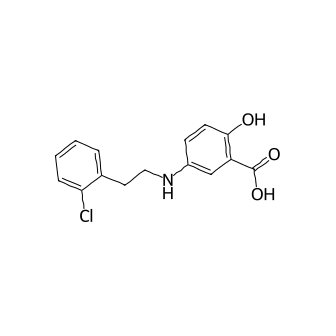 O=C(O)c1cc(NCCc2ccccc2Cl)ccc1O